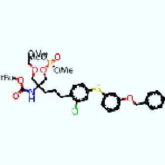 COCOCC(CCCc1ccc(Sc2cccc(OCc3ccccc3)c2)cc1Cl)(COP(=O)(OC)OC)NC(=O)OC(C)(C)C